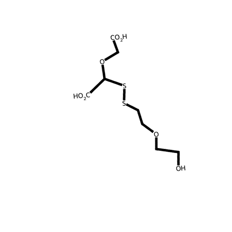 O=C(O)COC(SSCCOCCO)C(=O)O